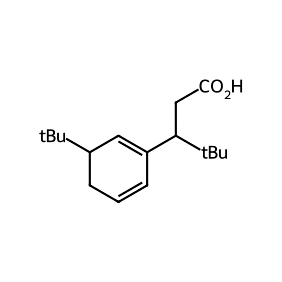 CC(C)(C)C1C=C(C(CC(=O)O)C(C)(C)C)C=CC1